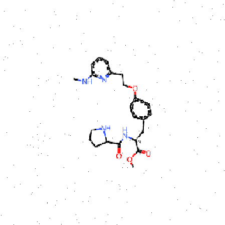 CNc1cccc(CCOc2ccc(C[C@H](NC(=O)C3CCCN3)C(=O)OC)cc2)n1